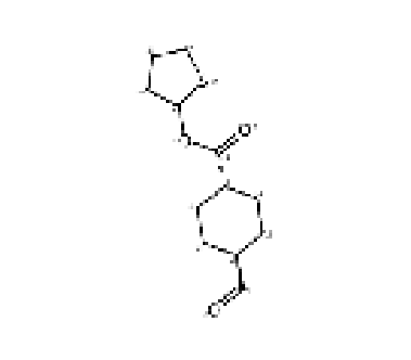 O=C[C@H]1CC[C@H](C(=O)OC2CCCS2)CC1